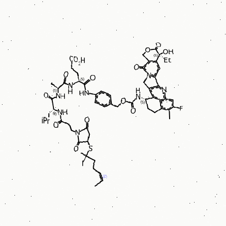 C/C=C\CCC(C)(I)SC1CC(=O)N(CCC(=O)N[C@H](CC(C)C)C(=O)N[C@@H](C)C(=O)N[C@@H](CCC(=O)O)C(=O)Nc2ccc(COC(=O)N[C@H]3CCc4c(C)c(F)cc5nc6c(c3c45)Cn3c-6cc4c(c3=O)COC(=O)[C@]4(O)CC)cc2)C1=O